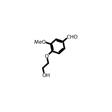 COc1cc(C=O)ccc1OCCO